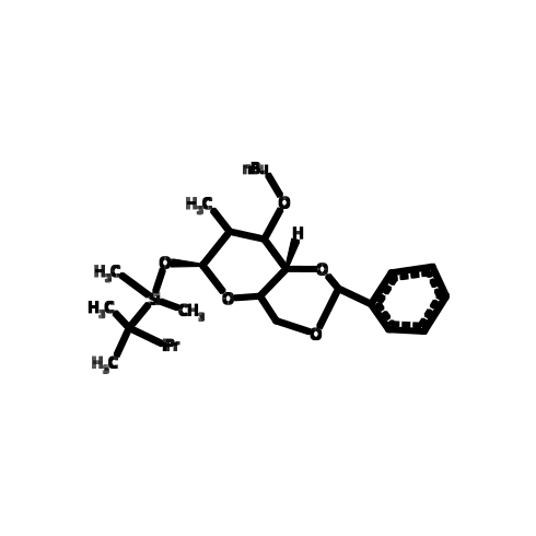 CCCCOC1C(C)[C@H](O[Si](C)(C)C(C)(C)C(C)C)OC2COC(c3ccccc3)O[C@H]21